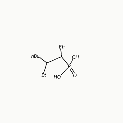 C[CH]C(C(CC)CCCC)P(=O)(O)O